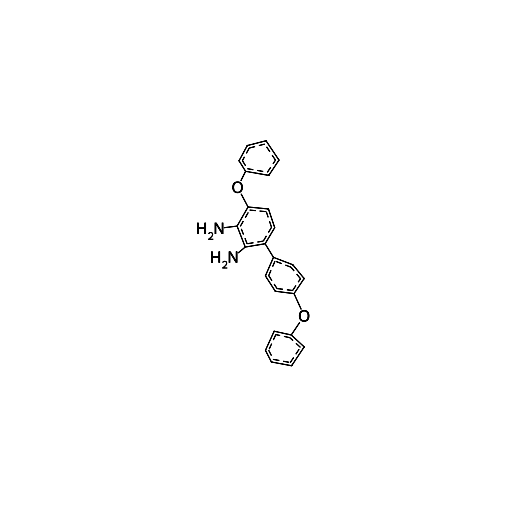 Nc1c(Oc2ccccc2)ccc(-c2ccc(Oc3ccccc3)cc2)c1N